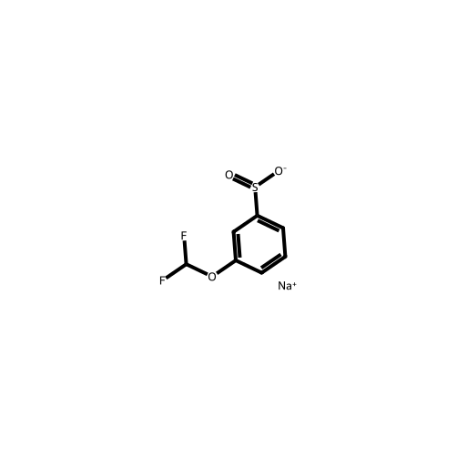 O=S([O-])c1cccc(OC(F)F)c1.[Na+]